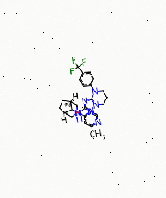 Cc1cc(N2C[C@H]3CC[C@H](C2)C3Nc2nc3n(n2)CCCN3c2ccc(C(F)(F)F)cc2)ncn1